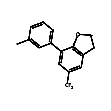 Cc1cccc(-c2cc(C(F)(F)F)cc3c2O[CH]C3)c1